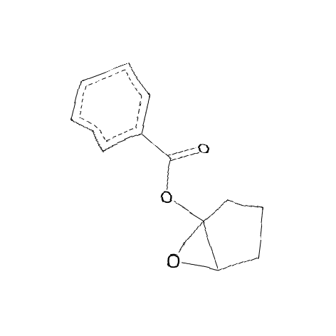 O=C(OC12CCCC1O2)c1ccccc1